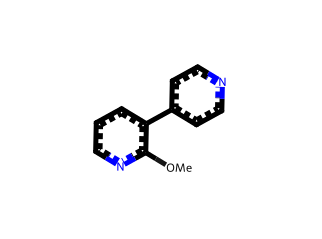 COc1ncccc1-c1ccncc1